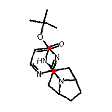 CC(C)(C)OC(=O)NC1CC2CCC(C1)N2c1ncccn1